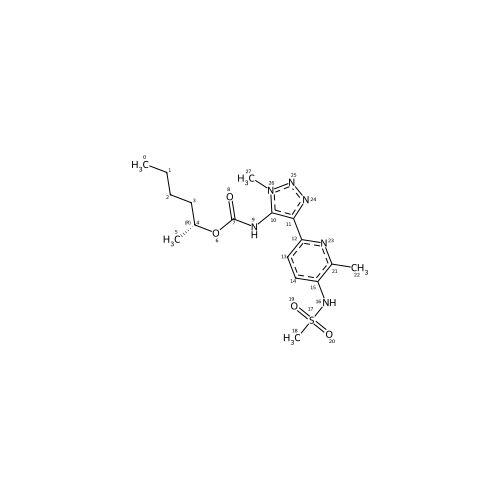 CCCC[C@@H](C)OC(=O)Nc1c(-c2ccc(NS(C)(=O)=O)c(C)n2)nnn1C